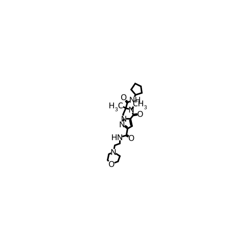 CN1C(=O)c2cc(C(=O)NCCN3CCOCC3)nn2CC1(C)C(=O)NC1CCCC1